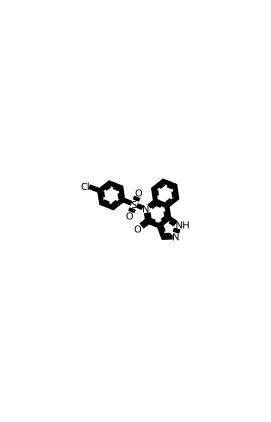 O=c1c2cn[nH]c2c2ccccc2n1S(=O)(=O)c1ccc(Cl)cc1